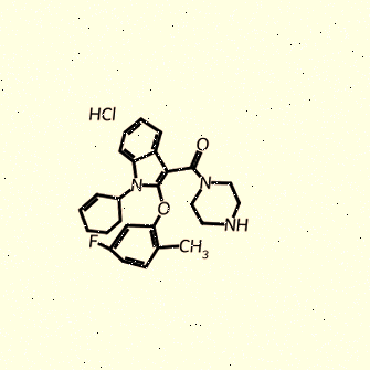 Cc1ccc(F)cc1Oc1c(C(=O)N2CCNCC2)c2ccccc2n1C1C=CCCC1.Cl